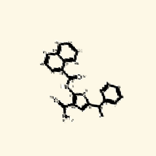 CC(c1ccccc1)c1cc(C(N)=O)c(NC(=O)c2cccc3ccccc23)s1